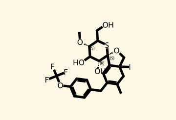 CO[C@@H]1C(CO)S[C@]2(OCC3(I)CC(C)=C(Cc4ccc(OC(F)(F)F)cc4)C=C32)[C@H](O)C1O